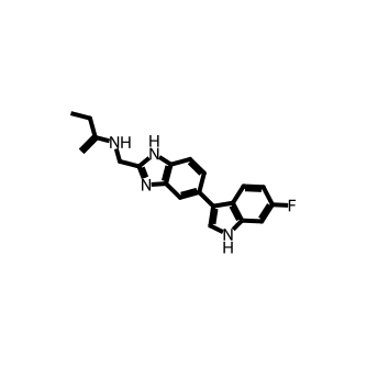 C=C(CC)NCc1nc2cc(-c3c[nH]c4cc(F)ccc34)ccc2[nH]1